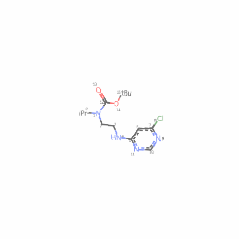 CC(C)N(CCNc1cc(Cl)ncn1)C(=O)OC(C)(C)C